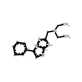 CCN(CC)Cc1nn2c(-c3ccccc3)cnc2s1